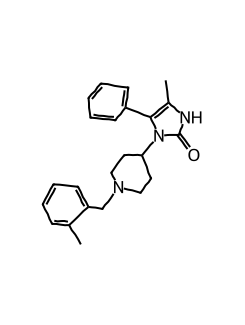 Cc1ccccc1CN1CCC(n2c(-c3ccccc3)c(C)[nH]c2=O)CC1